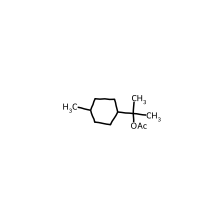 CC(=O)OC(C)(C)C1CCC(C)CC1